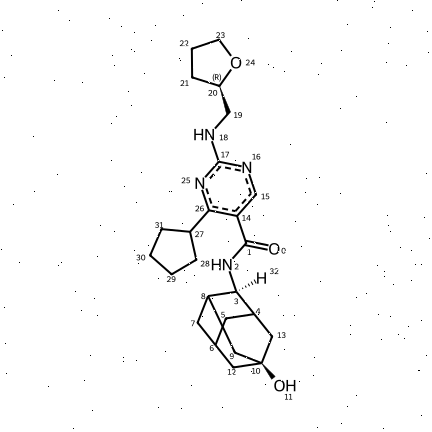 O=C(N[C@H]1C2CC3CC1C[C@@](O)(C3)C2)c1cnc(NC[C@H]2CCCO2)nc1C1CCCC1